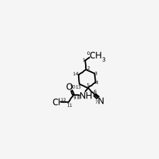 CCC1CCC(C#N)(NC(=O)CCl)CC1